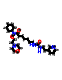 O=C(NCCCCCCC(=O)N(OCCN1CCOCC1)C1CCCCC1)NCCc1cccnc1